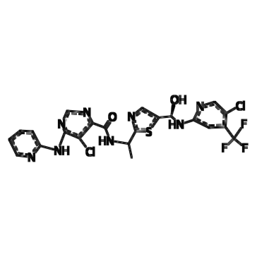 CC(NC(=O)c1ncnc(Nc2ccccn2)c1Cl)c1ncc([C@@H](O)Nc2cc(C(F)(F)F)c(Cl)cn2)s1